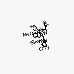 COc1ccc(CN(Cc2nc3cc(Cl)c(Cl)cc3n2COCC[Si](C)(C)C)c2nc(N3CCN(C)CC3)nc3c(-c4cnn(C)c4)cnn23)cc1